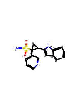 NS(=O)(=O)C1(c2cccnc2)CC1c1cc2ccccc2[nH]1